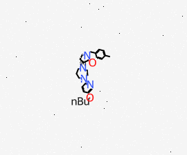 CCCCOc1ccc(N2CCCN([C@@H]3CCN(Cc4ccc(C)cc4)C3=O)CC2)nc1